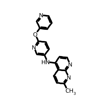 Cc1ccc2c(Nc3ccc(Oc4cccnc4)nc3)ccnc2n1